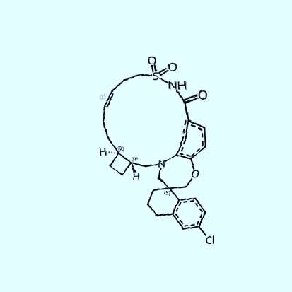 O=C1NS(=O)(=O)CC/C=C\CC[C@@H]2CC[C@H]2CN2C[C@@]3(CCCc4cc(Cl)ccc43)COc3ccc1cc32